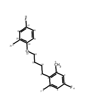 Cc1cc(F)cc(I)c1CCCCOc1ccc(F)cc1I